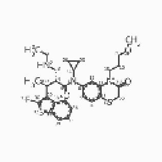 CCNC[C@H](C(=O)N(c1ccc2c(c1)N(CCCOC)C(=O)CS2)C1CC1)[C@H](C)c1c(F)sc2ccccc12